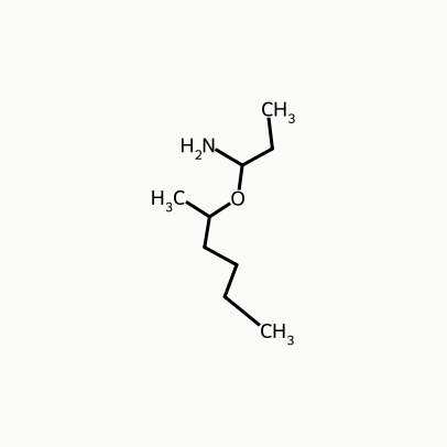 CCCCC(C)OC(N)CC